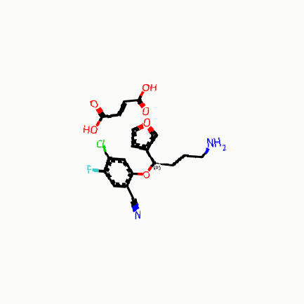 N#Cc1cc(F)c(Cl)cc1O[C@H](CCCN)c1ccoc1.O=C(O)C=CC(=O)O